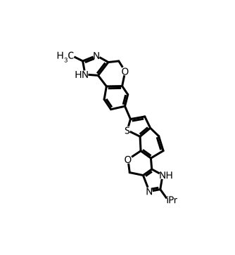 Cc1nc2c([nH]1)-c1ccc(-c3cc4ccc5c(c4s3)OCc3nc(C(C)C)[nH]c3-5)cc1OC2